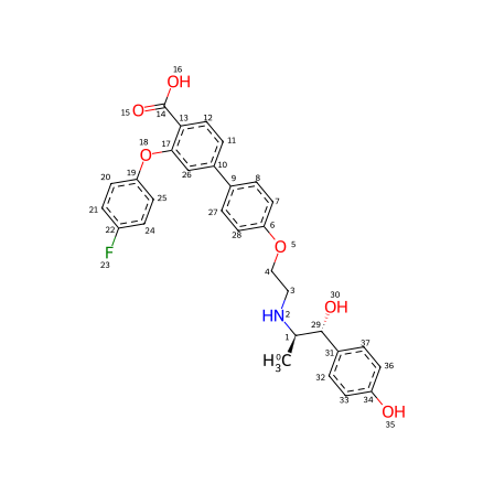 C[C@@H](NCCOc1ccc(-c2ccc(C(=O)O)c(Oc3ccc(F)cc3)c2)cc1)[C@H](O)c1ccc(O)cc1